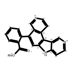 COC(=O)c1ccccc1-c1cc2[nH]c3ccncc3c2c2ccncc12